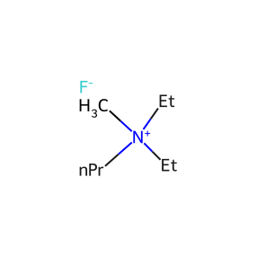 CCC[N+](C)(CC)CC.[F-]